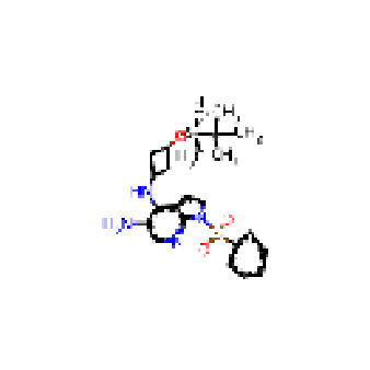 CC(C)(C)[Si](C)(C)OC1CC(Nc2c(N)cnc3c2ccn3S(=O)(=O)c2ccccc2)C1